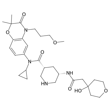 COCCCN1C(=O)C(C)(C)Oc2ccc(N(C(=O)[C@H]3CNC[C@@H](NC(=O)CC4(O)CCOCC4)C3)C3CC3)cc21